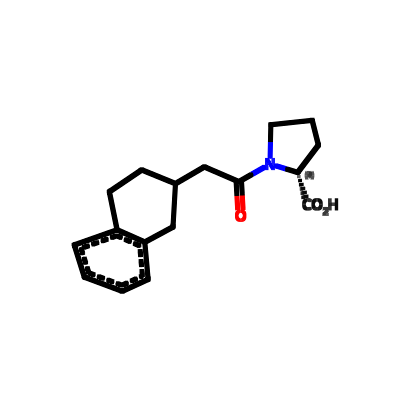 O=C(O)[C@H]1CCCN1C(=O)CC1CCc2ccccc2C1